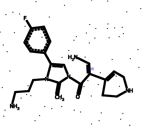 C=C1N(C(=O)/C(=C\N)C2=CCNCC2)C=C(c2ccc(F)cc2)N1CCCN